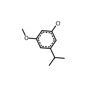 COc1cc(Cl)cc([C](C)C)c1